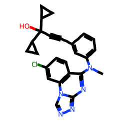 CN(c1cccc(C#CC(O)(C2CC2)C2CC2)c1)c1nc2nncn2c2cc(Cl)ccc12